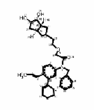 CC=Cc1ccc(N(Cc2ccccc2)C(=O)COCCC2C[C@H]3C[C@@H](O)[C@H](O)[C@@H]3C2)cc1C1=CCCCC1